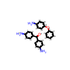 Nc1ccc(C(=O)c2ccc(N)cc2)cc1.Nc1ccc(Oc2ccccc2)cc1